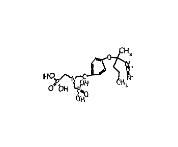 CCCC(C)(N=[N+]=[N-])Oc1ccc(CCN(CP(=O)(O)O)CP(=O)(O)O)cc1